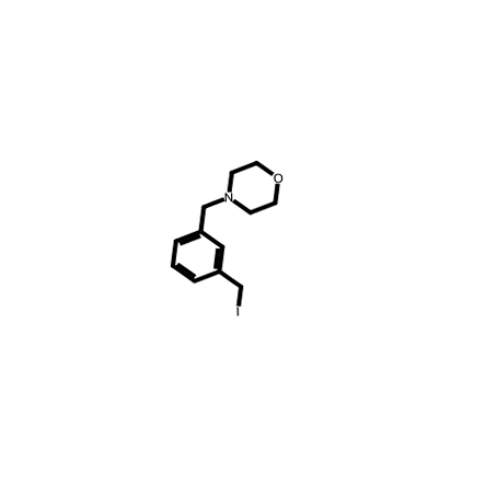 ICc1cccc(CN2CCOCC2)c1